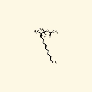 CC=CCCC=CCCC=C(C)C(C)(C)OC(C)=O